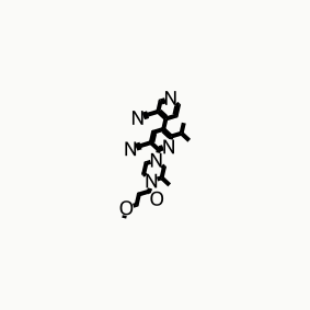 COCCC(=O)N1CCN(c2nc(C(C)C)c(-c3ccncc3C#N)cc2C#N)CC1C